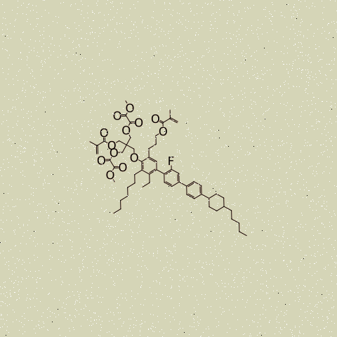 C=C(C)C(=O)OCCCc1cc(-c2ccc(-c3ccc(C4CCC(CCCCC)CC4)cc3)cc2F)c(CC)c(CCCCCCC)c1OCC(COC(=O)C(=C)C)(COC(=O)C(=O)OC)COC(=O)C(=O)OC